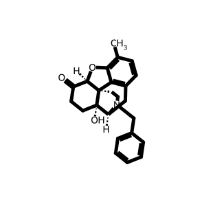 Cc1ccc2c3c1O[C@@H]1C(=O)CC[C@]4(O)[C@H](C2)N(Cc2ccccc2)CC[C@@]314